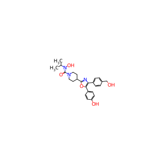 CC(C)N(O)C(=O)N1CCC(c2nc(-c3ccc(CO)cc3)c(-c3ccc(O)cc3)o2)CC1